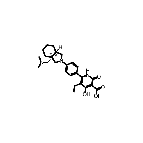 CCc1c(-c2ccc(N3C[C@H]4CCCC[C@]4(CN(C)C)C3)cc2)[nH]c(=O)c(C(=O)O)c1O